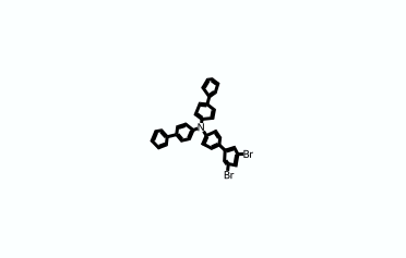 Brc1cc(Br)cc(-c2ccc(N(c3ccc(-c4ccccc4)cc3)c3ccc(-c4ccccc4)cc3)cc2)c1